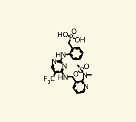 CN(c1ncccc1CNc1nc(Nc2ccccc2CP(=O)(O)O)ncc1C(F)(F)F)S(C)(=O)=O